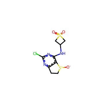 O=S1(=O)CC(Nc2nc(Cl)nc3c2[S+]([O-])CC3)C1